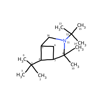 CC(C)(C)C1C2CC1C(C)(C)N(C(C)(C)C)C2